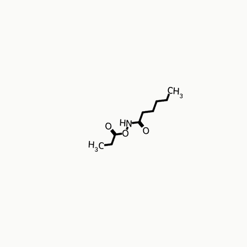 CCCCCC(=O)NOC(=O)CC